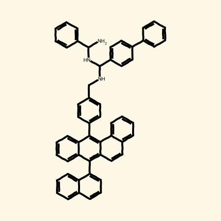 NC(NC(NCc1ccc(-c2c3ccccc3c(-c3cccc4ccccc34)c3ccc4ccccc4c23)cc1)c1ccc(-c2ccccc2)cc1)c1ccccc1